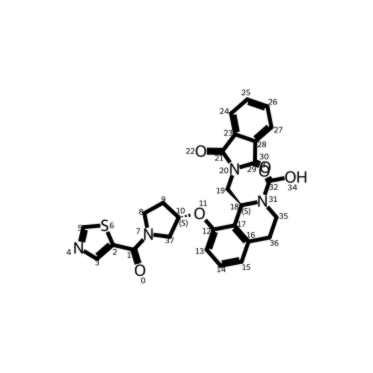 O=C(c1cncs1)N1CC[C@H](Oc2cccc3c2[C@@H](CN2C(=O)c4ccccc4C2=O)N(C(=O)O)CC3)C1